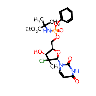 CCOC(=O)C(C)(C)NP(=O)(OC[C@H]1O[C@@H](n2ccc(=O)[nH]c2=O)[C@](C)(Cl)[C@@H]1O)Oc1ccccc1